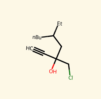 C#CC(O)(CCl)CC(CC)CCCC